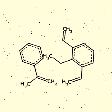 C=C(C)c1ccccc1.C=Cc1cccc(C=C)c1CC